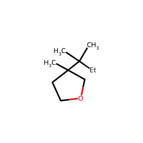 CCC(C)(C)C1(C)CCOC1